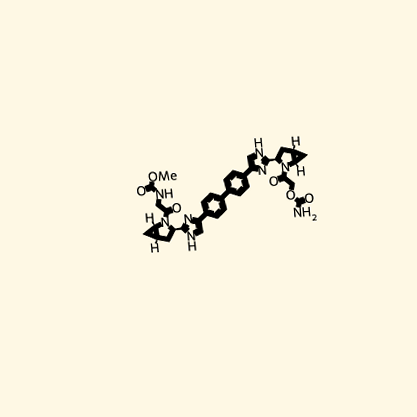 COC(=O)NCC(=O)N1[C@@H](c2nc(-c3ccc(-c4ccc(-c5c[nH]c([C@H]6C[C@H]7C[C@H]7N6C(=O)COC(N)=O)n5)cc4)cc3)c[nH]2)C[C@H]2C[C@H]21